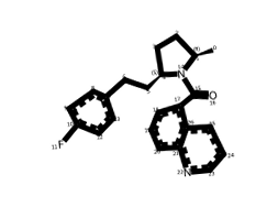 C[C@@H]1CC[C@H](CCc2ccc(F)cc2)N1C(=O)c1cccc2ncccc12